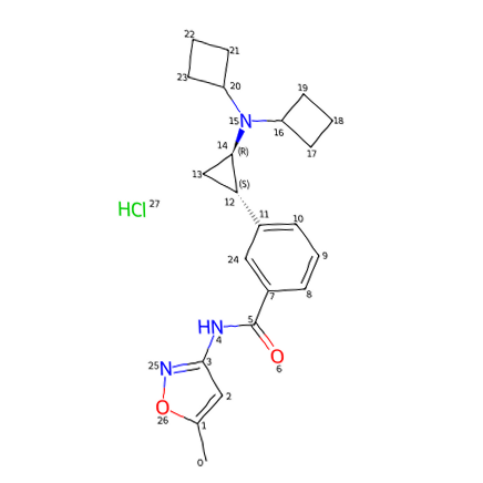 Cc1cc(NC(=O)c2cccc([C@@H]3C[C@H]3N(C3CCC3)C3CCC3)c2)no1.Cl